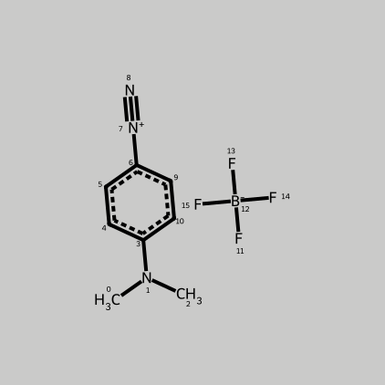 CN(C)c1ccc([N+]#N)cc1.F[B-](F)(F)F